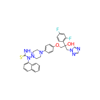 NC(=S)N(c1cccc2ccccc12)N1CCN(c2ccc(OCC(O)(Cn3cncn3)c3ccc(F)cc3F)cc2)CC1